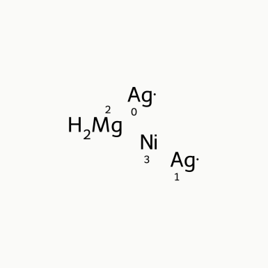 [Ag].[Ag].[MgH2].[Ni]